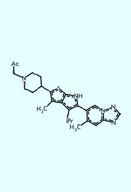 CC(=O)CN1CCC(c2sc3[nH]c(-c4cn5ncnc5cc4C)c(C(C)C)c3c2C)CC1